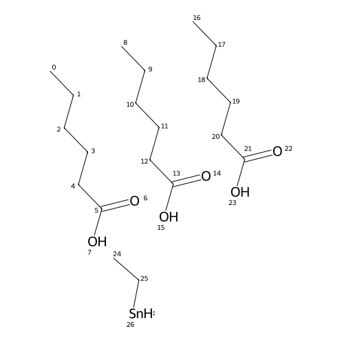 CCCCCC(=O)O.CCCCCC(=O)O.CCCCCC(=O)O.C[CH2][SnH]